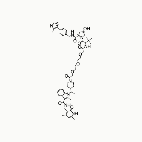 Cc1cc(C)c(CNC(=O)c2c(C)n(C(C)C3CCN(C(=O)COCCOCCOCC(=O)NC(C(=O)N4C[C@H](O)C[C@H]4C(=O)NCc4ccc(-c5scnc5C)cc4)C(C)(C)C)CC3)c3ccccc23)c(=O)[nH]1